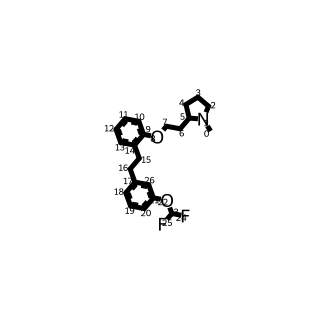 CN1CCCC1CCOc1ccccc1CCc1cccc(OC(F)F)c1